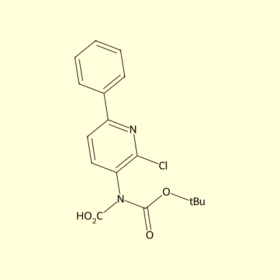 CC(C)(C)OC(=O)N(C(=O)O)c1ccc(-c2ccccc2)nc1Cl